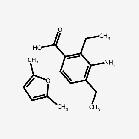 CCc1ccc(C(=O)O)c(CC)c1N.Cc1ccc(C)o1